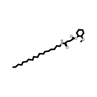 CCCCCCCCCCCCCCCCCCNC(=O)CCC(=O)OC1CCCCC1OC